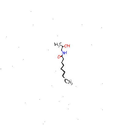 CCCCCCCC(=O)NCC(C)O